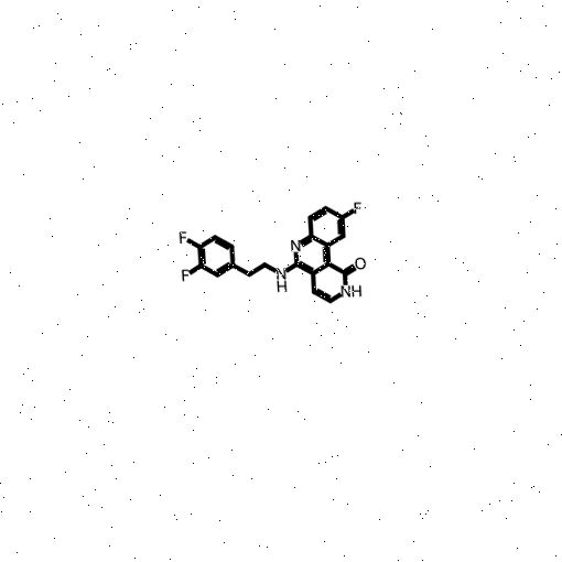 O=c1[nH]ccc2c(NCCc3ccc(F)c(F)c3)nc3ccc(F)cc3c12